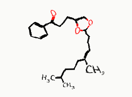 C/C(=C/CCC1OCC(CCC(=O)c2ccccc2)O1)CCCC(C)C